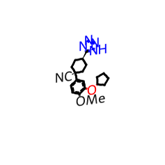 COc1ccc([C@]2(C#N)CC[C@H](c3nnn[nH]3)CC2)cc1OC1CCCC1